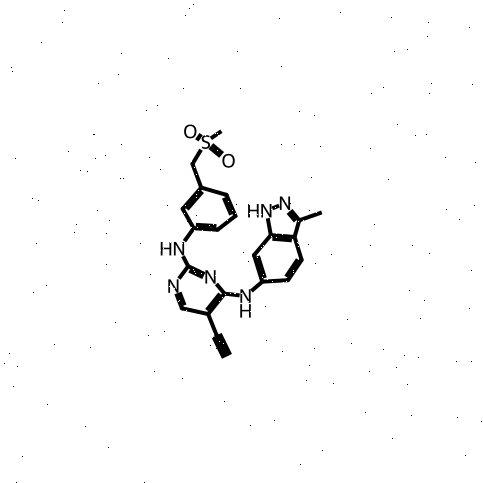 C#Cc1cnc(Nc2cccc(CS(C)(=O)=O)c2)nc1Nc1ccc2c(C)n[nH]c2c1